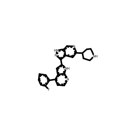 Fc1ccccc1-c1ccnc2[nH]c(-c3n[nH]c4cnc(C5CCNCC5)cc34)cc12